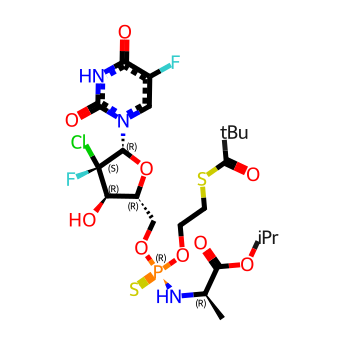 CC(C)OC(=O)[C@@H](C)N[P@](=S)(OCCSC(=O)C(C)(C)C)OC[C@H]1O[C@@H](n2cc(F)c(=O)[nH]c2=O)[C@@](F)(Cl)[C@@H]1O